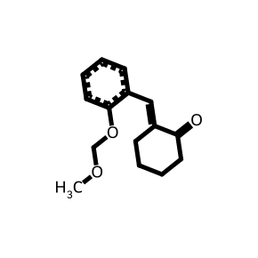 COCOc1ccccc1/C=C1\CCCCC1=O